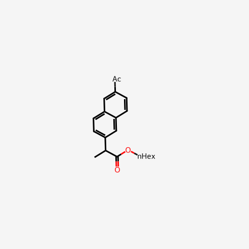 CCCCCCOC(=O)C(C)c1ccc2cc(C(C)=O)ccc2c1